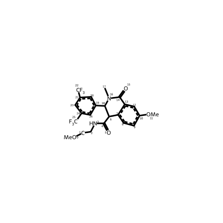 COCCNC(=O)C1c2ccc(OC)cc2C(=O)N(C)C1c1cc(C(F)(F)F)cc(C(F)(F)F)c1